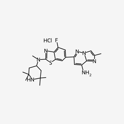 Cc1cn2nc(-c3cc(F)c4nc(N(C)C5CC(C)(C)NC(C)(C)C5)sc4c3)cc(N)c2n1.Cl